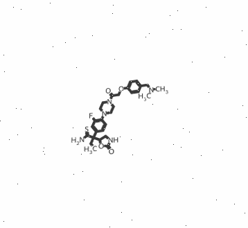 CCC(C(N)=S)(c1ccc(N2CCN(C(=O)COc3ccc(CN(C)C)cc3)CC2)c(F)c1)C1CNC(=O)O1